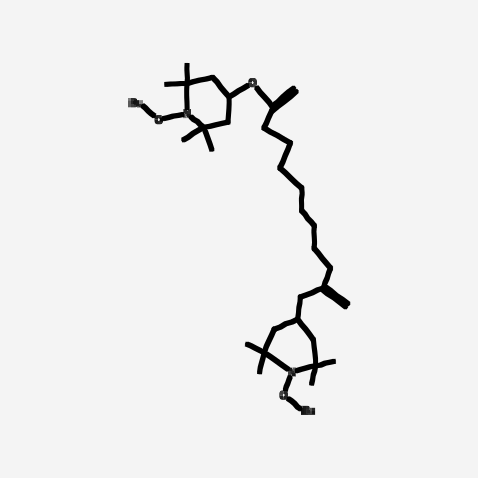 C=C(CCCCCCCCC(=C)OC1CC(C)(C)N(OC(C)CC)C(C)(C)C1)CC1CC(C)(C)N(OC(C)CC)C(C)(C)C1